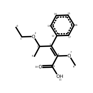 CCOC(C)C(=C(OC)C(=O)O)c1ccccc1